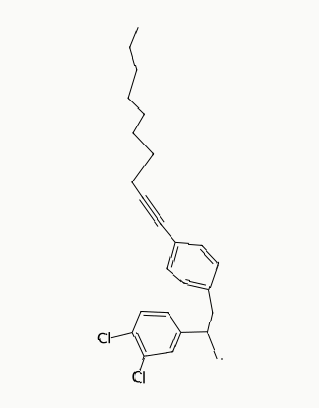 [CH2]C(Cc1ccc(C#CCCCCCCCC)cc1)c1ccc(Cl)c(Cl)c1